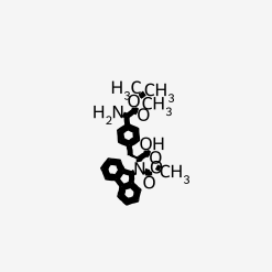 COC(=O)N(C1c2ccccc2-c2ccccc21)[C@@H](Cc1ccc(C(N)C(=O)OC(C)(C)C)cc1)C(=O)O